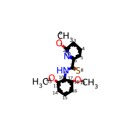 COc1cccc(C(=S)Nc2c(OC)cccc2OC)n1